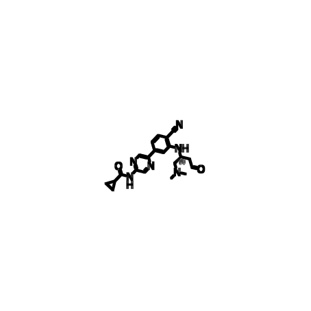 CN(C)C[C@H](CC=O)Nc1cc(-c2cnc(NC(=O)C3CC3)cn2)ccc1C#N